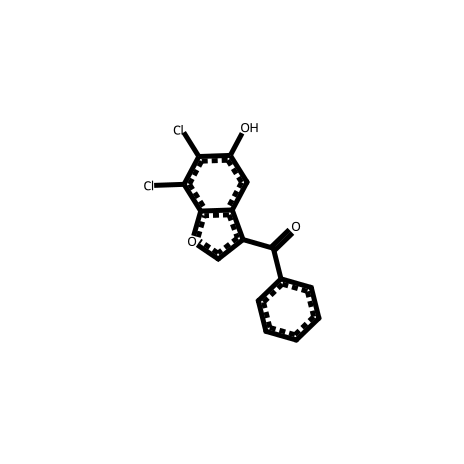 O=C(c1ccccc1)c1coc2c(Cl)c(Cl)c(O)cc12